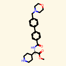 COC(=O)[C@@H](NC(=O)c1ccc(-c2ccc(CN3CCOCC3)cc2)cc1)C1CCNCC1